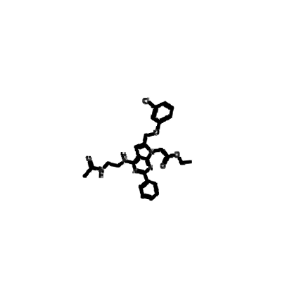 CCOC(=O)Cn1c(COc2cccc(Cl)c2)cc2c(NCCNC(C)=O)nc(-c3ccccc3)nc21